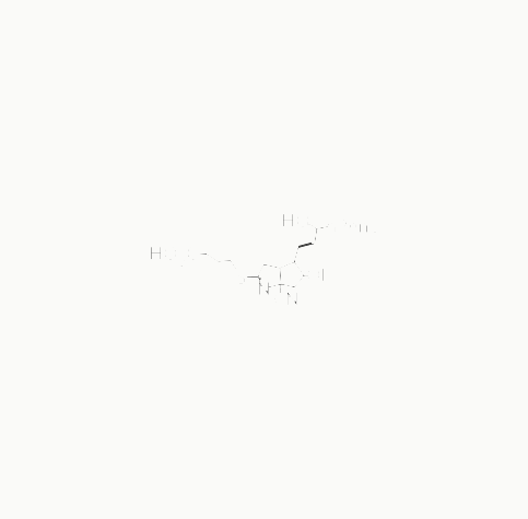 CCCCCC(O)C=CC1C(O)CC2(C#N)N=C(SCCCC(=O)O)CC12